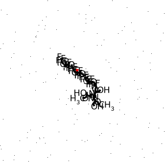 CCOC(CO)c1nc(C(CO)OC)nc(C(CO)OCC(F)(F)OC(F)(F)C(F)(F)OC(F)(F)C(F)(F)OC(F)(F)C(F)(F)OC(F)(F)C(F)(F)OC(F)(F)C(F)(F)OC(F)(F)C(F)(F)F)n1